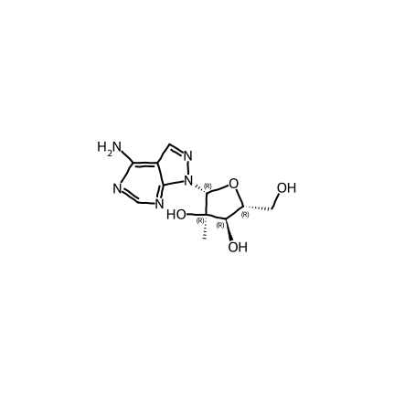 C[C@@]1(O)[C@H](O)[C@@H](CO)O[C@H]1n1ncc2c(N)ncnc21